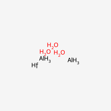 O.O.O.[AlH3].[AlH3].[Hf]